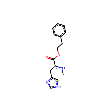 CN[C@@H](Cc1c[nH]cn1)C(=O)OCCc1ccccc1